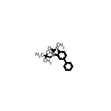 Cn1c(=O)n(CC(C)(C)C)c2cc(-c3ccccc3)ccc21